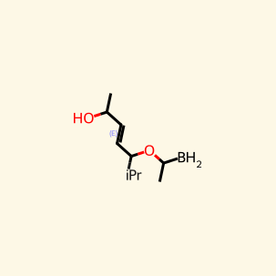 BC(C)OC(/C=C/C(C)O)C(C)C